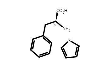 N[C@@H](Cc1ccccc1)C(=O)O.c1ccsc1